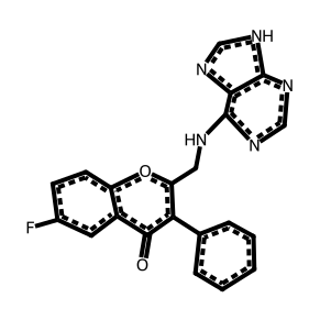 O=c1c(-c2ccccc2)c(CNc2ncnc3[nH]cnc23)oc2ccc(F)cc12